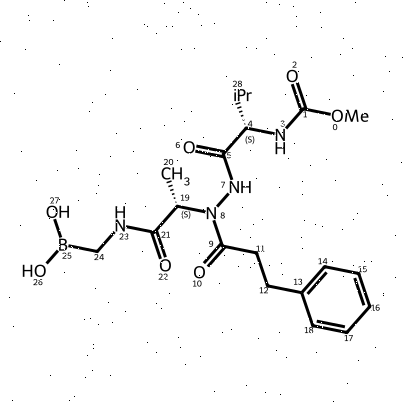 COC(=O)N[C@H](C(=O)NN(C(=O)CCc1ccccc1)[C@@H](C)C(=O)NCB(O)O)C(C)C